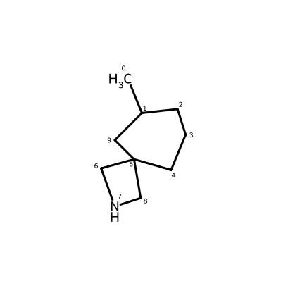 CC1CCCC2(CNC2)C1